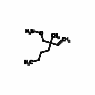 C=CC(C)(CCCC)CO[SiH3]